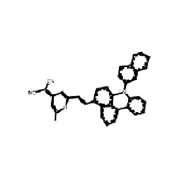 CC1=CC(=C(C#N)C#N)C=C(/C=C/c2ccc3c4c(cccc24)-c2ccccc2N3c2ccc3ccccc3c2)O1